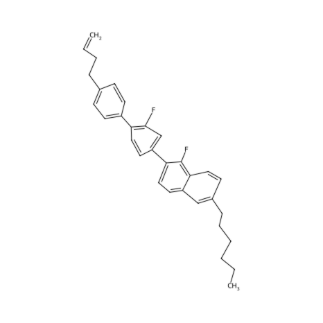 C=CCCc1ccc(-c2ccc(-c3ccc4cc(CCCCCC)ccc4c3F)cc2F)cc1